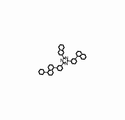 c1ccc(-c2cccc3c(-c4cccc(-c5nc(-c6cccc(-c7cccc8ccccc78)c6)nc(-c6ccc7ccccc7c6)n5)c4)cccc23)cc1